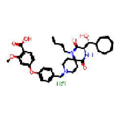 CCCCN1C(=O)[C@@H]([C@H](O)C2CCCCCC2)NC(=O)C12CCN(Cc1ccc(Oc3ccc(C(=O)O)c(OC)c3)cc1)CC2.Cl